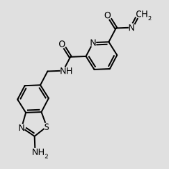 C=NC(=O)c1cccc(C(=O)NCc2ccc3nc(N)sc3c2)n1